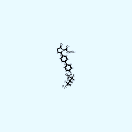 CC(C)(C)OC(=O)N1C(=O)CCC1c1ccc(-c2ccc(OS(=O)(=O)C(F)(F)C(F)(F)C(F)(F)C(F)(F)F)cc2)cc1